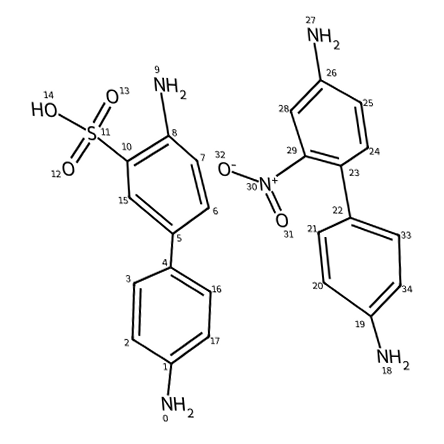 Nc1ccc(-c2ccc(N)c(S(=O)(=O)O)c2)cc1.Nc1ccc(-c2ccc(N)cc2[N+](=O)[O-])cc1